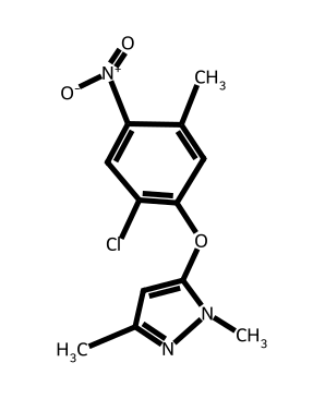 Cc1cc(Oc2cc(C)c([N+](=O)[O-])cc2Cl)n(C)n1